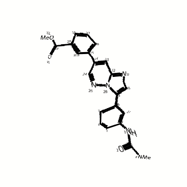 CNC(=O)Nc1cccc(-c2cnc3cc(-c4cccc(C(=O)OC)c4)cnn23)c1